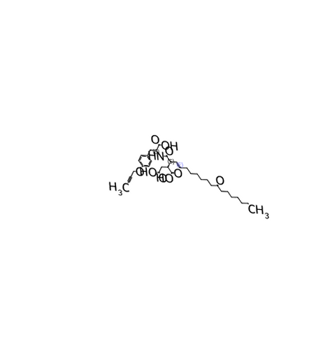 CC#CCOc1ccc(C[C@H](NC(=O)[C@@H](/C=C/CCCCCCC(=O)CCCCCCC)C(CC(=O)O)C(=O)O)C(=O)O)cc1